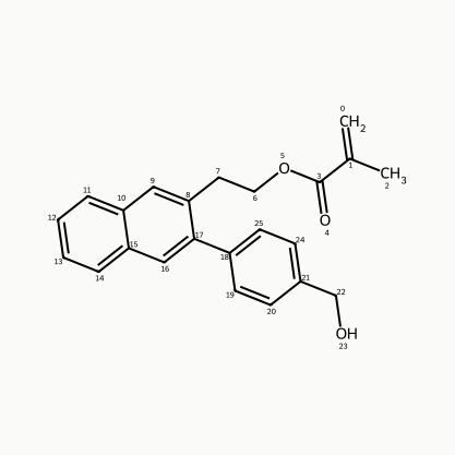 C=C(C)C(=O)OCCc1cc2ccccc2cc1-c1ccc(CO)cc1